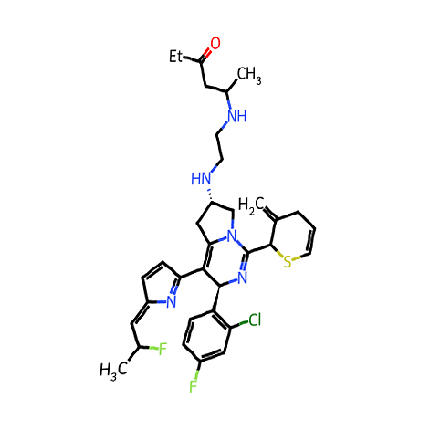 C=C1CC=CSC1C1=N[C@@H](c2ccc(F)cc2Cl)C(C2=N/C(=C\C(C)F)C=C2)=C2C[C@H](NCCNC(C)CC(=O)CC)CN12